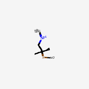 CC(C)(C)NCC(C)(C)SN=O